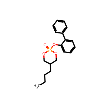 CCCCC1COP(=O)(Oc2ccccc2-c2ccccc2)OC1